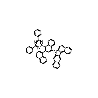 c1ccc(-c2nc(-c3ccccc3)nc(-c3c(-c4cccc5ccccc45)cc(-n4c5cc6ccccc6cc5c5c6ccccc6ccc54)c4ccccc34)n2)cc1